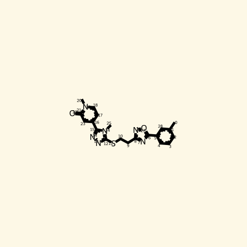 Cc1cccc(-c2nc(CCSc3nnc(-c4ccn(C)c(=O)c4)n3C)no2)c1